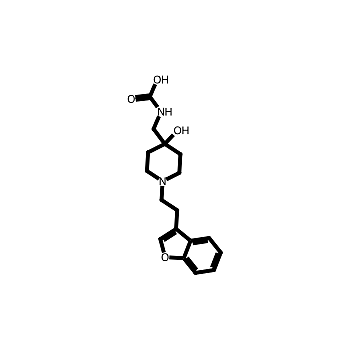 O=C(O)NCC1(O)CCN(CCc2coc3ccccc23)CC1